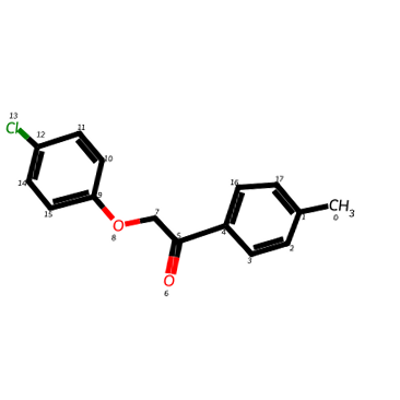 Cc1ccc(C(=O)COc2ccc(Cl)cc2)cc1